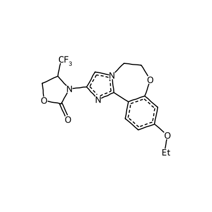 CCOc1ccc2c(c1)OCCn1cc(N3C(=O)OCC3C(F)(F)F)nc1-2